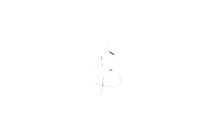 CC1=CCC2([CH]C(C)(C)CCC2)C(C)C1